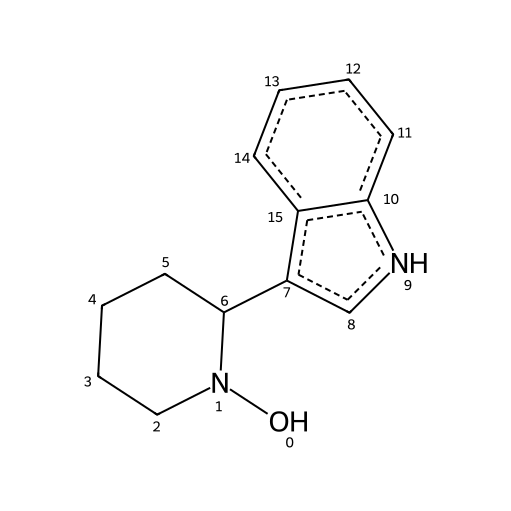 ON1CCCCC1c1c[nH]c2ccccc12